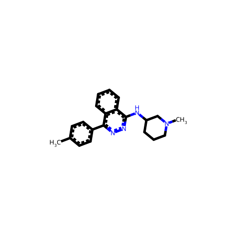 Cc1ccc(-c2nnc(NC3CCCN(C)C3)c3ccccc23)cc1